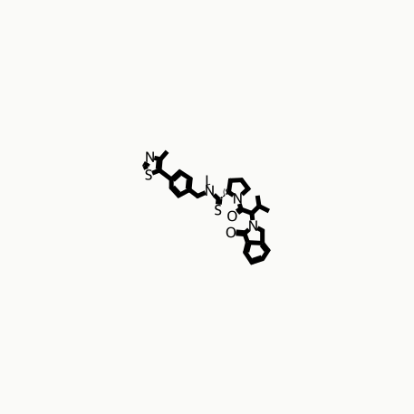 Cc1ncsc1-c1ccc(CN(I)C(=S)[C@@H]2CCCN2C(=O)C(C(C)C)N2Cc3ccccc3C2=O)cc1